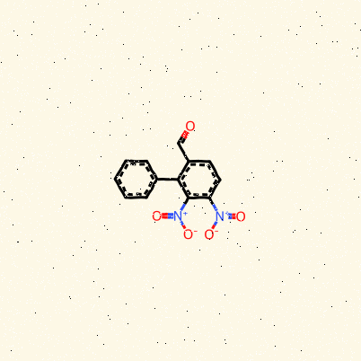 O=Cc1ccc([N+](=O)[O-])c([N+](=O)[O-])c1-c1ccccc1